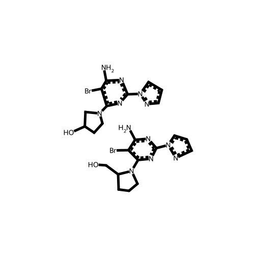 Nc1nc(-n2cccn2)nc(N2CCC(O)C2)c1Br.Nc1nc(-n2cccn2)nc(N2CCCC2CO)c1Br